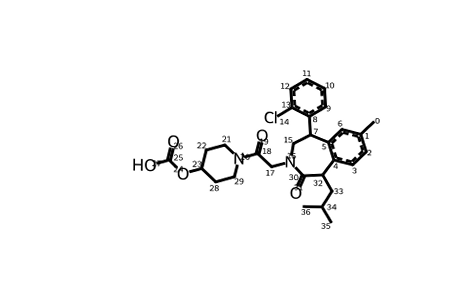 Cc1ccc2c(c1)C(c1ccccc1Cl)CN(CC(=O)N1CCC(OC(=O)O)CC1)C(=O)C2CC(C)C